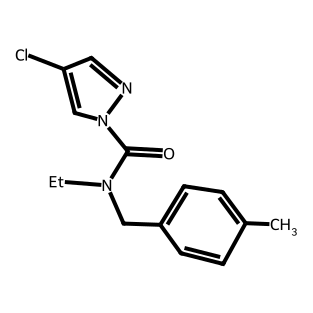 CCN(Cc1ccc(C)cc1)C(=O)n1cc(Cl)cn1